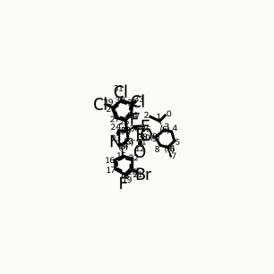 CC(C)[C@@H]1CC[C@@H](C)C[C@H]1OC(=O)[C@@H]1[C@@H](c2ccc(F)c(Br)c2)N=C[C@@]1(c1cc(Cl)c(Cl)c(Cl)c1)C(F)(F)F